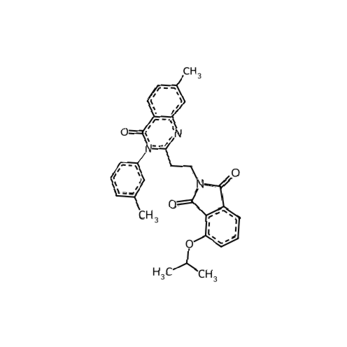 Cc1cccc(-n2c(CCN3C(=O)c4cccc(OC(C)C)c4C3=O)nc3cc(C)ccc3c2=O)c1